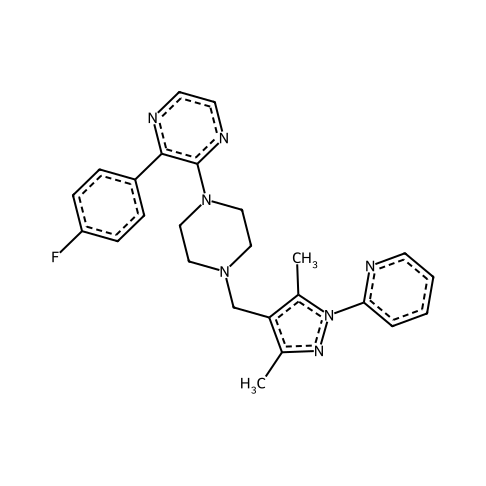 Cc1nn(-c2ccccn2)c(C)c1CN1CCN(c2nccnc2-c2ccc(F)cc2)CC1